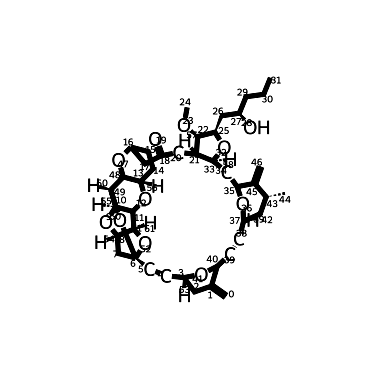 C=C1C[C@@H]2CC[C@@]34C[C@@H]5O[C@@H]6C(O[C@H]7CCC(CC(=O)C[C@@H]8[C@@H](OC)[C@@H](C[C@H](O)CCC)O[C@H]8CC8O[C@@H](CCC1O2)C[C@@H](C)C8=C)OC7[C@@H]6O3)[C@@H]5O4